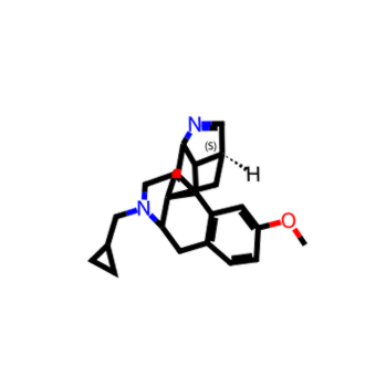 COc1ccc2c(c1)C13CCN(CC4CC4)C(C2)C12CCC1N=C[C@@H](C2)C13